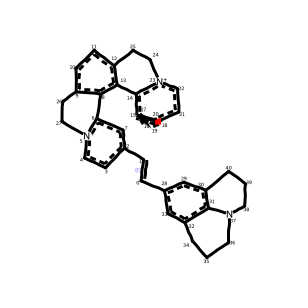 C(=C\c1cc[n+]2c(c1)-c1c(ccc3c1-c1c4ccccc4cc[n+]1CC3)CC2)/c1cc2c3c(c1)CCCN3CCC2